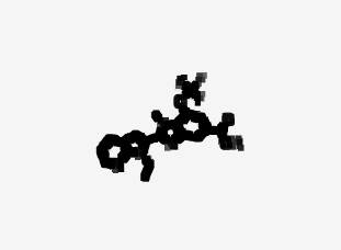 CCn1c(-c2nc3cc(C(=O)O)cc(OC(F)(F)F)c3n2C)cc2cccnc21